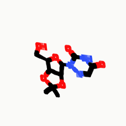 CC1(C)OC2C(O1)[C@@H](CO)O[C@H]2n1ncc(=O)[nH]c1=O